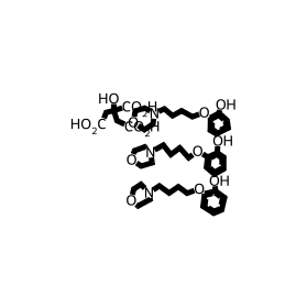 O=C(O)CC(O)(CC(=O)O)C(=O)O.Oc1ccccc1OCCCCN1CCOCC1.Oc1ccccc1OCCCCN1CCOCC1.Oc1ccccc1OCCCCN1CCOCC1